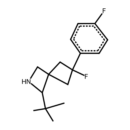 CC(C)(C)C1NCC12CC(F)(c1ccc(F)cc1)C2